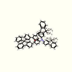 C=Cc1cccc(-c2ccc3c(c2)C2(c4ccccc4-c4ccc(-c5ccc(N(c6ccc7c(c6)C(C)(C)c6ccccc6-7)c6ccc7c(c6)C(C)(C)c6ccccc6-7)cc5)cc42)c2ccccc2-3)c1